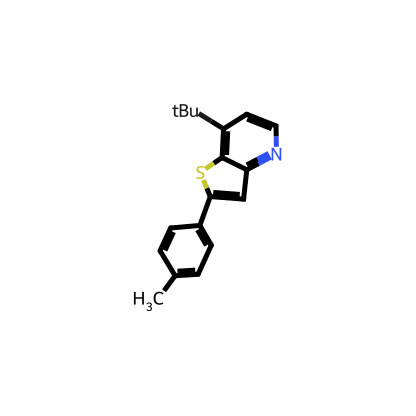 Cc1ccc(-c2cc3nccc(C(C)(C)C)c3s2)cc1